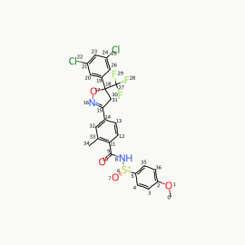 COc1ccc([S+]([O-])NC(=O)c2ccc(C3=NOC(c4cc(Cl)cc(Cl)c4)(C(F)(F)F)C3)cc2C)cc1